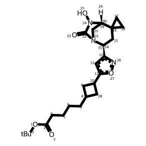 CC(C)(C)OC(=O)CCCCC1CC(c2cc([C@@H]3CC4(CC4)[C@@H]4CN3C(=O)N4O)no2)C1